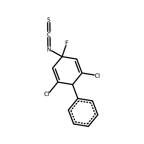 FC1(N=C=S)C=C(Cl)C(c2ccccc2)C(Cl)=C1